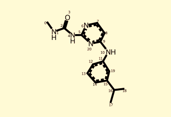 CNC(=O)Nc1nccc(Nc2cccc(C(C)C)c2)n1